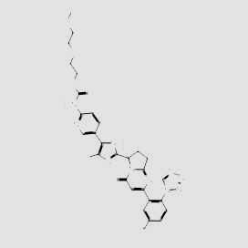 COCCOCCOC(=O)Nc1ccc(-c2[nH]c(C3CCc4nc(-c5cc(Cl)ccc5-n5cnnn5)cc(=O)n43)nc2F)cn1